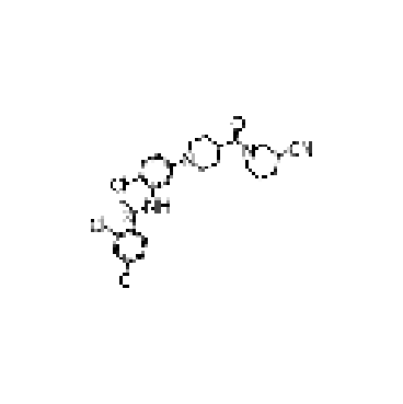 C[C@@H](Nc1cc(N2CCC(C(=O)N3CCCC(C#N)C3)CC2)ccc1Cl)c1ccc(Cl)cc1Cl